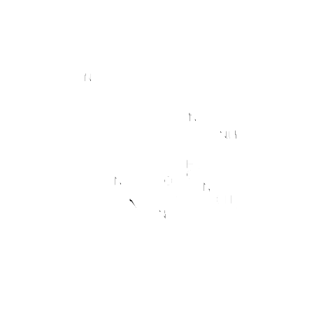 C[N+](C)(CCNc1cccc(-c2ccc(C#N)cc2)n1)CC(=O)N1CCC[C@H]1C#N